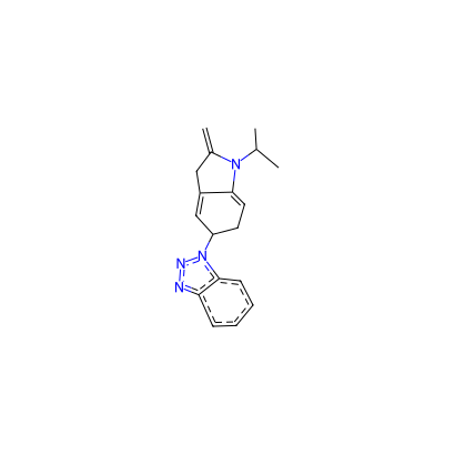 C=C1CC2=CC(n3nnc4ccccc43)CC=C2N1C(C)C